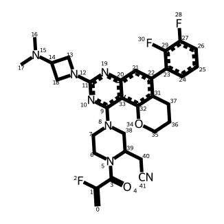 C=C(F)C(=O)N1CCN(c2nc(N3CC(N(C)C)C3)nc3cc(-c4cccc(F)c4F)c4c(c23)OCCC4)CC1CC#N